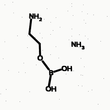 N.NCCOB(O)O